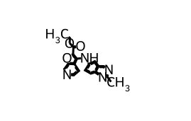 CCOC(=O)c1oc2cnccc2c1Nc1ccc2nc(C)ncc2c1